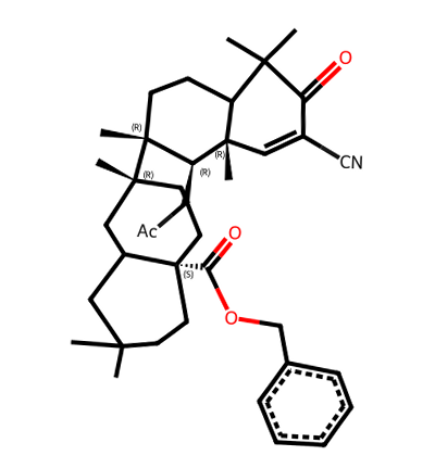 CC(=O)C[C@@H]1[C@@]2(C)C=C(C#N)C(=O)C(C)(C)C2CC[C@@]1(C)[C@]1(C)CC[C@@]2(C(=O)OCc3ccccc3)CCC(C)(C)CC2C1